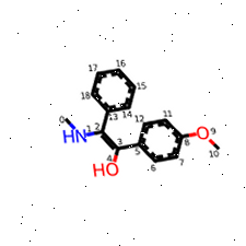 CN/C(=C(\O)c1ccc(OC)cc1)c1ccccc1